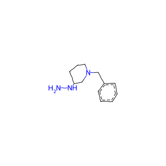 NNC1CCCN(Cc2ccccc2)C1